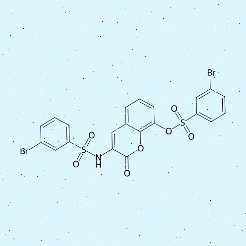 O=c1oc2c(OS(=O)(=O)c3cccc(Br)c3)cccc2cc1NS(=O)(=O)c1cccc(Br)c1